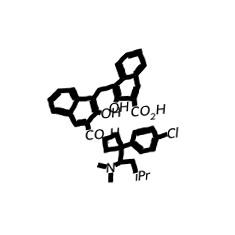 CC(C)CC(N(C)C)C1(c2ccc(Cl)cc2)CCC1.O=C(O)c1cc2ccccc2c(Cc2c(O)c(C(=O)O)cc3ccccc23)c1O